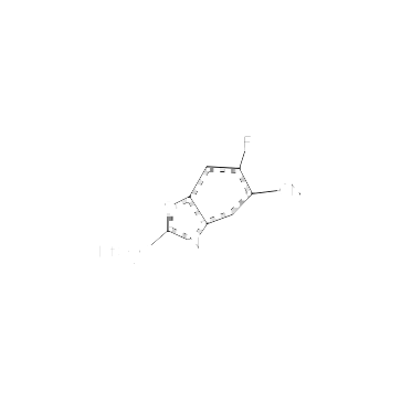 CCOC(=O)c1nc2cc(C#N)c(F)cc2s1